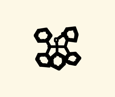 [O]OC([C](c1ccccc1)c1ccccc1)(c1ccccc1)C(c1ccccc1)c1ccccc1